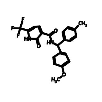 COc1ccc(C(NC(=O)c2ccc(C(F)(F)F)[nH]c2=O)c2ccc(C)cc2)cc1